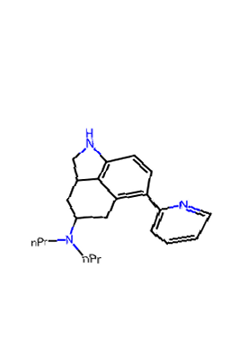 CCCN(CCC)C1Cc2c(-c3ccccn3)ccc3c2C(CN3)C1